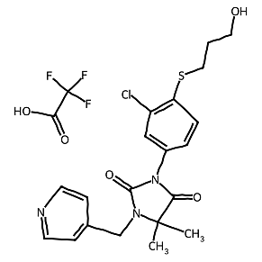 CC1(C)C(=O)N(c2ccc(SCCCO)c(Cl)c2)C(=O)N1Cc1ccncc1.O=C(O)C(F)(F)F